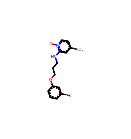 CC(=O)c1cccc(OCCCNc2cc([N+](=O)[O-])cc[n+]2[O-])c1